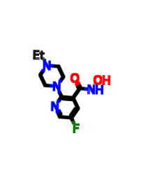 CCN1CCN(c2ncc(F)cc2C(=O)NO)CC1